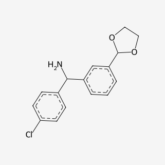 NC(c1ccc(Cl)cc1)c1cccc(C2OCCO2)c1